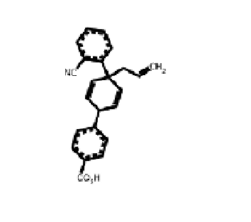 C=CCC1(c2ccccc2C#N)C=CC(c2ccc(C(=O)O)cc2)C=C1